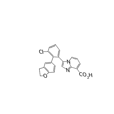 O=C(O)c1cccn2c(-c3cccc(Cl)c3-c3ccc4c(c3)CCO4)cnc12